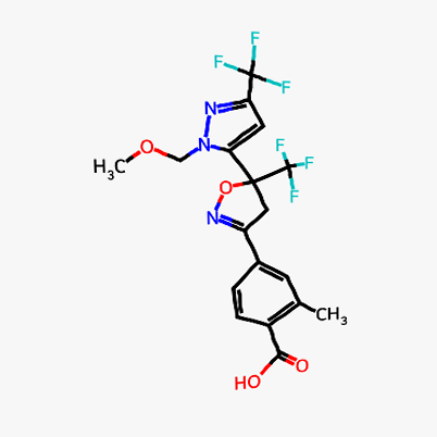 COCn1nc(C(F)(F)F)cc1C1(C(F)(F)F)CC(c2ccc(C(=O)O)c(C)c2)=NO1